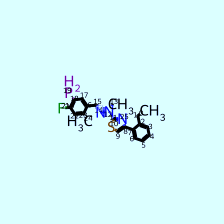 CCc1ccccc1-c1csc(N(C)/N=C/c2cc(P)c(F)cc2C)n1